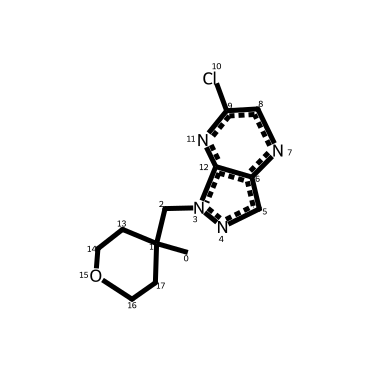 CC1(Cn2ncc3ncc(Cl)nc32)CCOCC1